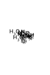 CCn1ncc2c(N[C@@H](C)C3CCCCC3)c(C(=O)N[C@@H]3C[C@@H]4CCC3C4)cnc21